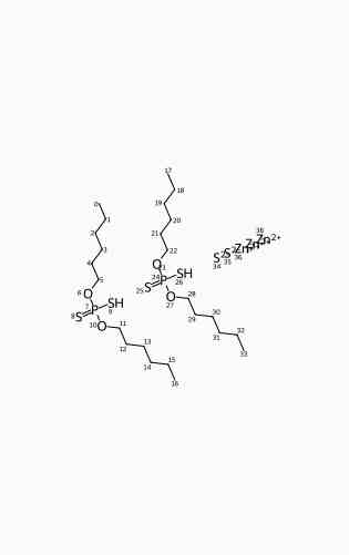 CCCCCCOP(=S)(S)OCCCCCC.CCCCCCOP(=S)(S)OCCCCCC.[S-2].[S-2].[Zn+2].[Zn+2].[Zn+2]